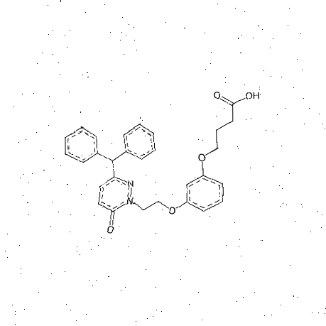 O=C(O)CCCOc1cccc(OCCn2nc(C(c3ccccc3)c3ccccc3)ccc2=O)c1